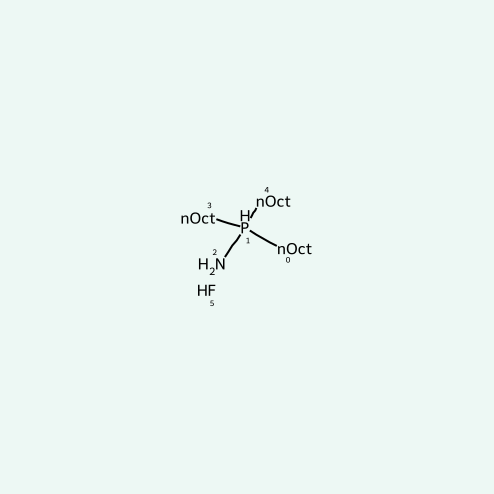 CCCCCCCC[PH](N)(CCCCCCCC)CCCCCCCC.F